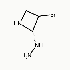 NN[C@@H]1NCC1Br